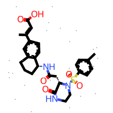 C/C(=C\C(=O)O)c1ccc2c(c1)CCC[C@H]2NC(=O)C[C@H]1C(=O)NCCN1S(=O)(=O)c1ccc(C)cc1